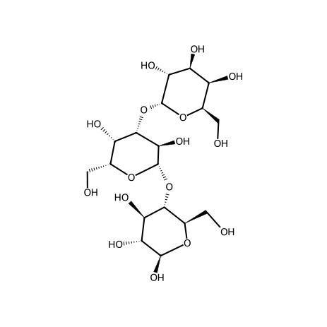 OC[C@H]1O[C@H](O[C@H]2[C@@H](O)[C@@H](CO)O[C@@H](O[C@H]3[C@H](O)[C@@H](O)[C@H](O)O[C@@H]3CO)[C@@H]2O)[C@H](O)[C@@H](O)[C@H]1O